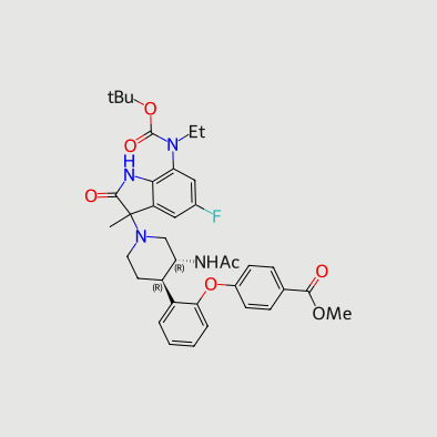 CCN(C(=O)OC(C)(C)C)c1cc(F)cc2c1NC(=O)C2(C)N1CC[C@H](c2ccccc2Oc2ccc(C(=O)OC)cc2)[C@@H](NC(C)=O)C1